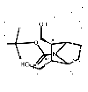 CC(C)(C)OC(=O)N1C2CCC1[C@H](CO)[C@@H]2CO